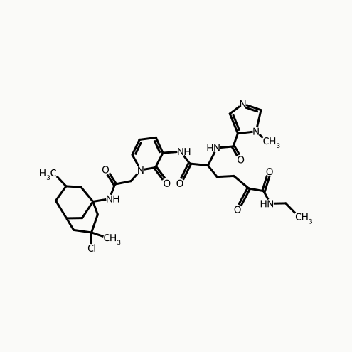 CCNC(=O)C(=O)CCC(NC(=O)c1cncn1C)C(=O)Nc1cccn(CC(=O)NC23CC(C)CC(CC(C)(Cl)C2)C3)c1=O